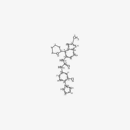 Cc1nc2c(C3CCCCO3)c(NC(=O)Nc3cnc(-n4nccn4)c(Cl)c3)cnc2s1